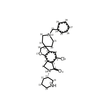 O=C1c2c(Cl)cc3c(c2CN1[C@H]1CCCNC1)OCC31CCN(Cc2ccccc2)CC1